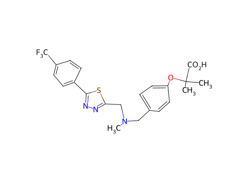 CN(Cc1ccc(OC(C)(C)C(=O)O)cc1)Cc1nnc(-c2ccc(C(F)(F)F)cc2)s1